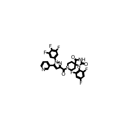 O=C(c1cc(-c2cccnc2)n(-c2cc(F)c(F)c(F)c2)n1)N1CCC2(CC1)C(=O)NC(=O)N2c1c(F)cc(F)cc1F